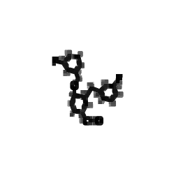 O=Cc1ccc(OCc2cccc(F)c2)c(Cc2cccc(F)c2)c1